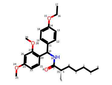 CCCCC[C@H](C)C(=O)NC(c1ccc(OCC)cc1)c1ccc(OC)cc1OC